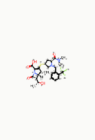 C[C@@H](O)[C@H]1C(=O)N2C(C(=O)O)=C(S[C@H]3C[C@@H](C(=O)N(C)C)N(Cc4ccccc4C(F)(F)F)C3)[C@H](C)[C@H]12